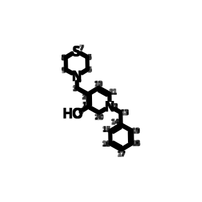 OC1=C(CN2CCSCC2)C=CN(Cc2ccccc2)C1